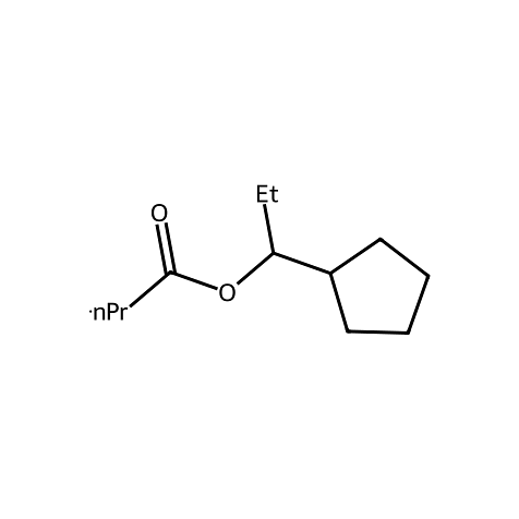 CC[CH]C(=O)OC(CC)C1CCCC1